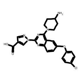 NC1CCN(c2nc(-n3cc(C(=O)O)cn3)nc3ccc(Oc4ccc(Cl)cc4)cc23)CC1